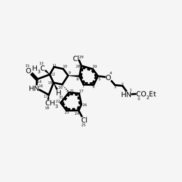 CCOC(=O)NCCOc1ccc([C@@H]2CC[C@@]3(C)C(=O)N[C@H](C)[C@H]3[C@H]2c2ccc(Cl)cc2)c(Cl)c1